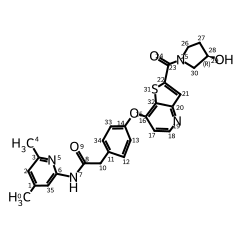 Cc1cc(C)nc(NC(=O)Cc2ccc(Oc3ccnc4cc(C(=O)N5CC[C@@H](O)C5)sc34)cc2)c1